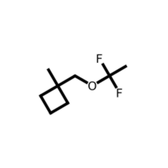 CC1(COC(C)(F)F)CCC1